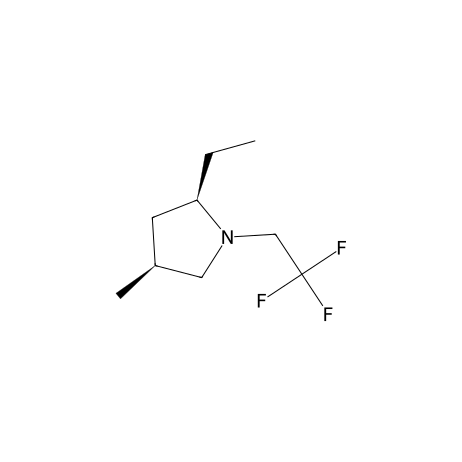 CC[C@@H]1C[C@H](C)CN1CC(F)(F)F